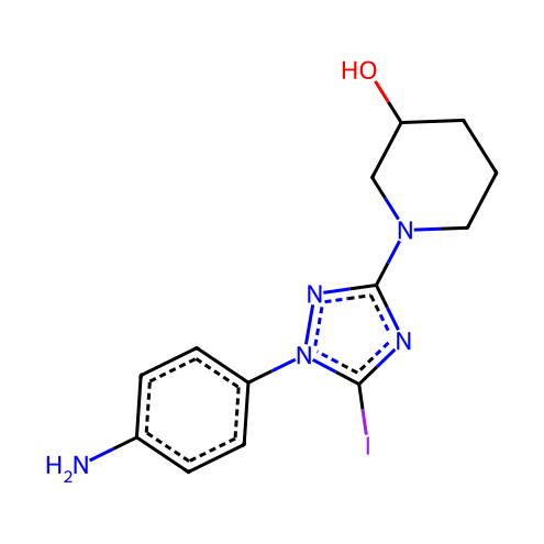 Nc1ccc(-n2nc(N3CCCC(O)C3)nc2I)cc1